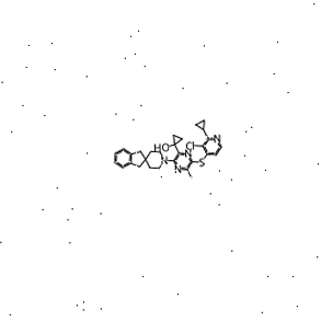 Cc1nc(N2CCC3(CC2)Cc2ccccc2C3)c(C2(O)CC2)nc1Sc1ccnc(C2CC2)c1Cl